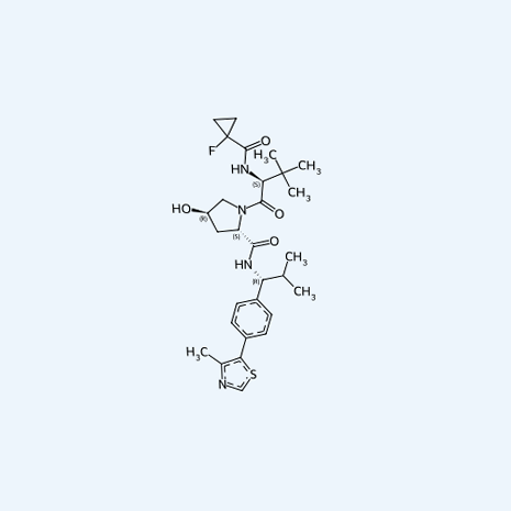 Cc1ncsc1-c1ccc([C@H](NC(=O)[C@@H]2C[C@@H](O)CN2C(=O)[C@@H](NC(=O)C2(F)CC2)C(C)(C)C)C(C)C)cc1